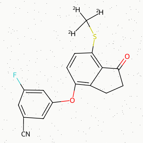 [2H]C([2H])([2H])Sc1ccc(Oc2cc(F)cc(C#N)c2)c2c1C(=O)CC2